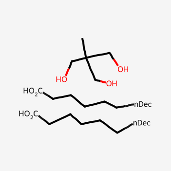 CC(CO)(CO)CO.CCCCCCCCCCCCCCCC(=O)O.CCCCCCCCCCCCCCCC(=O)O